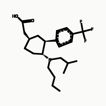 CCCCN(CC(C)C)[C@@H]1CC[C@@H](CC(=O)O)C[C@H]1c1ccc(C(F)(F)F)cc1